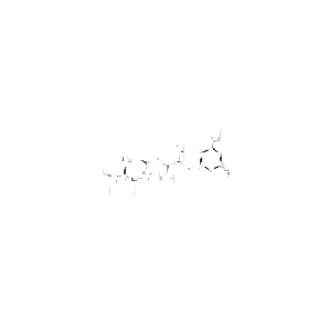 C=C(C[C@H](O)[C@@H](N)Cc1cc(C)cc(F)c1)N[C@H](C(=O)NCC)C(C)C